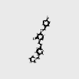 O=c1cc(OCc2ccc(Cl)cc2)ccn1CCc1ccc(CN2CCCC2)cn1